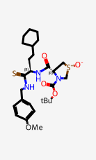 COc1ccc(CNC(=S)[C@@H](CCC2CCCCC2)NC(=O)[C@@H]2C[S+]([O-])CN2C(=O)OC(C)(C)C)cc1